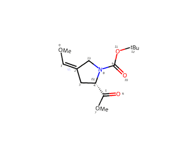 CO/C=C1/C[C@@H](C(=O)OC)N(C(=O)OC(C)(C)C)C1